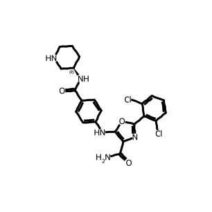 NC(=O)c1nc(-c2c(Cl)cccc2Cl)oc1Nc1ccc(C(=O)N[C@@H]2CCCNC2)cc1